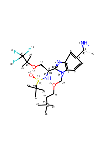 C[C@@H](N)c1ccc2c(c1)nc([C@H](COC(C)(C)C(F)(F)F)N[S@+]([O-])C(C)(C)C)n2COCC[Si](C)(C)C